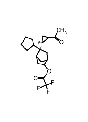 CC(=O)C1C[C@H]1C1(C2CCCC2)CC2CC1CC2OC(=O)C(F)(F)F